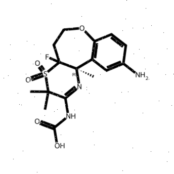 CC1(C)C(NC(=O)O)=N[C@]2(C)c3cc(N)ccc3OCCC2(F)S1(=O)=O